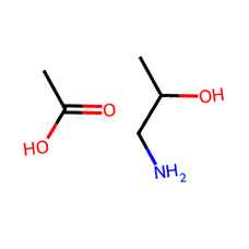 CC(=O)O.CC(O)CN